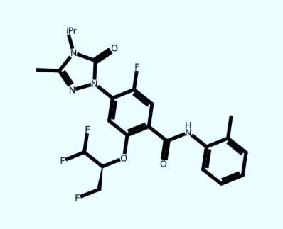 Cc1ccccc1NC(=O)c1cc(F)c(-n2nc(C)n(C(C)C)c2=O)cc1O[C@@H](CF)C(F)F